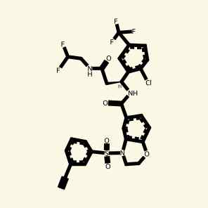 C#Cc1cccc(S(=O)(=O)N2CCOc3ccc(C(=O)N[C@@H](CC(=O)NCC(F)F)c4cc(C(F)(F)F)ccc4Cl)cc32)c1